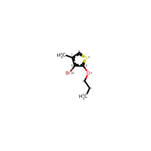 CCCOc1scc(C)c1Br